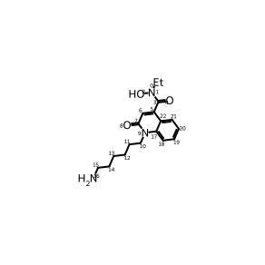 CCN(O)C(=O)c1cc(=O)n(CCCCCCN)c2ccccc12